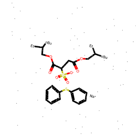 CCCCC(CC)COC(=O)CC(C(=O)OCC(CC)CCCC)S(=O)(=O)[O-].[Na+].c1ccc(Sc2ccccc2)cc1